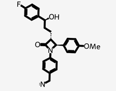 COc1ccc([C@@H]2[C@@H](CC[C@H](O)c3ccc(F)cc3)C(=O)N2c2ccc(C[N])cc2)cc1